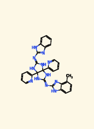 Cc1cccc2[nH]c(N=C3NC4(c5ccccn5)NC(=Nc5nc6ccccc6[nH]5)NC4(c4ccccn4)N3)nc12